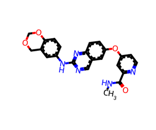 CNC(=O)c1cc(Oc2ccc3nc(Nc4ccc5c(c4)COCO5)ncc3c2)ccn1